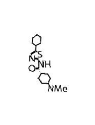 CN[C@H]1CC[C@H](C(=O)Nc2ncc(C3CCCCC3)s2)CC1